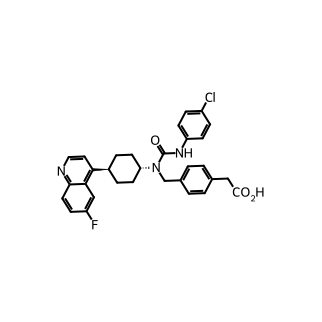 O=C(O)Cc1ccc(CN(C(=O)Nc2ccc(Cl)cc2)[C@H]2CC[C@H](c3ccnc4ccc(F)cc43)CC2)cc1